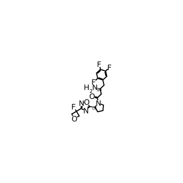 N[C@@H](CC(=O)N1CCC[C@H]1c1nc(C2(F)COC2)no1)Cc1cc(F)c(F)cc1F